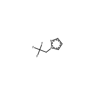 FC(F)(F)Cn1cc[c]n1